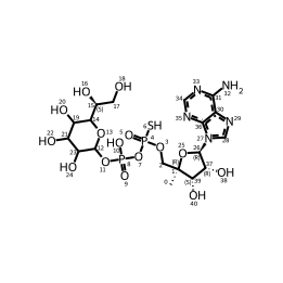 C[C@]1(COP(=O)(S)OP(=O)(O)OC2OC([C@@H](O)CO)C(O)C(O)C2O)O[C@@H](n2cnc3c(N)ncnc32)[C@H](O)[C@@H]1O